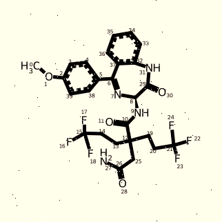 COc1ccc(C2=N[C@H](NC(=O)C(CCC(F)(F)F)(CCC(F)(F)F)CC(N)=O)C(=O)Nc3ccccc32)cc1